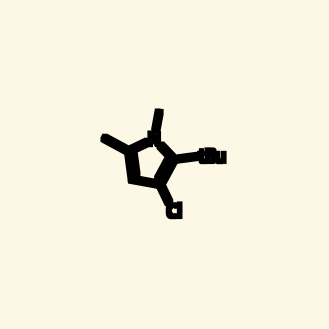 Cc1cc(Cl)c(C(C)(C)C)n1C